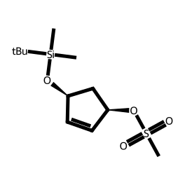 CC(C)(C)[Si](C)(C)O[C@@H]1C=C[C@H](OS(C)(=O)=O)C1